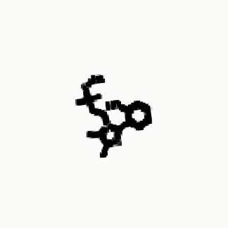 Cc1nc(-c2ccccc2O)n(CCC(C)(C)SC(C)(C)C)c1C